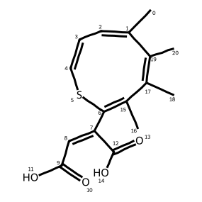 Cc1cccsc(C(=CC(=O)O)C(=O)O)c(C)c(C)c1C